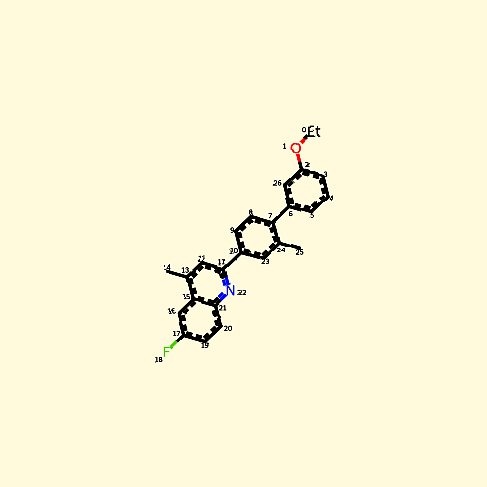 CCOc1cccc(-c2ccc(-c3cc(C)c4cc(F)ccc4n3)cc2C)c1